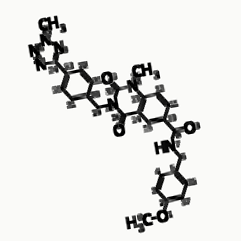 COc1ccc(CNC(=O)c2ccc3c(c2)c(=O)n(Cc2ccc(-c4nnn(C)n4)cc2)c(=O)n3C)cc1